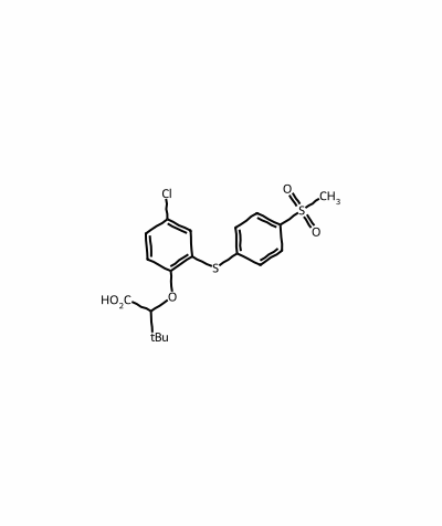 CC(C)(C)C(Oc1ccc(Cl)cc1Sc1ccc(S(C)(=O)=O)cc1)C(=O)O